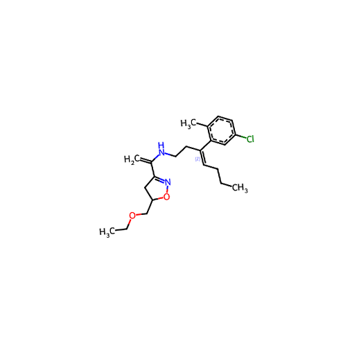 C=C(NCC/C(=C/CCC)c1cc(Cl)ccc1C)C1=NOC(COCC)C1